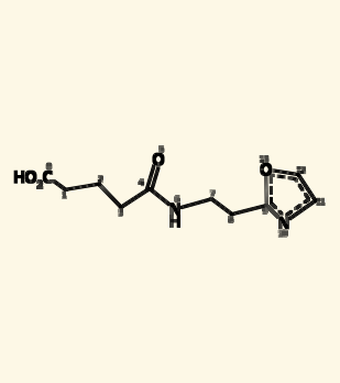 O=C(O)CCCC(=O)NCCc1ncco1